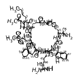 CCCC[C@H](NC(C)=O)C(=O)N[C@H]1CCC(=O)NCCCC[C@@H](C(N)=O)NC(=O)[C@H](Cc2c[nH]c3ccccc23)NC(=O)[C@H](CCCNC(=N)N)NC(=O)[C@@H](Cc2ccccc2)NC(=O)[C@H](CCS(C)(=O)=O)NC1=O